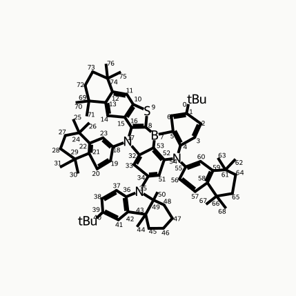 CC(C)(C)c1ccc2c(c1)B1c3sc4cc5c(cc4c3N(c3ccc4c(c3)C(C)(C)CCC4(C)C)c3cc(N4c6ccc(C(C)(C)C)cc6C6(C)CCCCC46C)cc(c31)N2c1ccc2c(c1)C(C)(C)CCC2(C)C)C(C)(C)CCC5(C)C